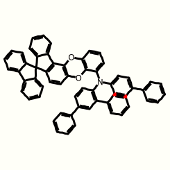 c1ccc(-c2ccc(N(c3ccc(-c4ccccc4)cc3-c3ccccc3)c3cccc4c3Oc3ccc5c(c3O4)-c3ccccc3C53c4ccccc4-c4ccccc43)cc2)cc1